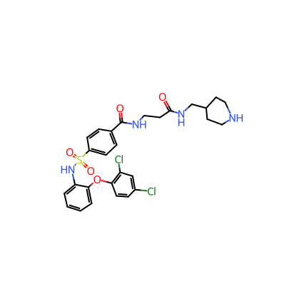 O=C(CCNC(=O)c1ccc(S(=O)(=O)Nc2ccccc2Oc2ccc(Cl)cc2Cl)cc1)NCC1CCNCC1